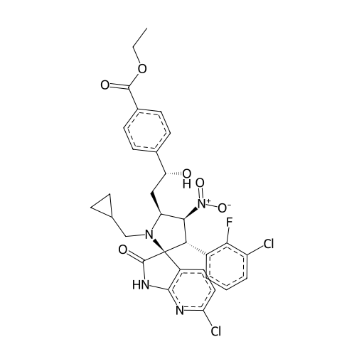 CCOC(=O)c1ccc([C@H](O)C[C@H]2[C@@H]([N+](=O)[O-])[C@H](c3cccc(Cl)c3F)[C@]3(C(=O)Nc4nc(Cl)ccc43)N2CC2CC2)cc1